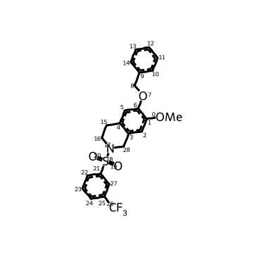 COc1cc2c(cc1OCc1ccccc1)CCN(S(=O)(=O)c1cccc(C(F)(F)F)c1)C2